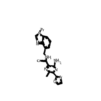 Cc1nc(C(=O)NCc2cccc3c2ncn3C(C)C)c(N)nc1-c1ncco1